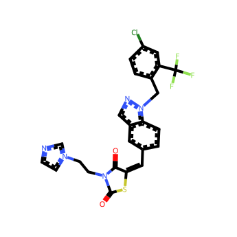 O=C1SC(=Cc2ccc3c(cnn3Cc3ccc(Cl)cc3C(F)(F)F)c2)C(=O)N1CCn1ccnc1